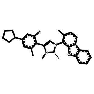 Cc1cc(C2CCCC2)cc(C)c1C1=CN(c2c(C)ccc3c2oc2ccccc23)[C@H](C)N1C